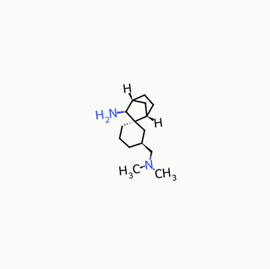 CN(C)C[C@H]1CCC[C@@]2(C1)[C@H]1CC[C@H](C1)[C@@H]2N